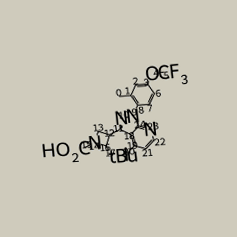 Cc1cc(OC(F)(F)F)ccc1-n1nc(C2CN(C(=O)O)C2C(C)(C)C)c2c(I)ccnc21